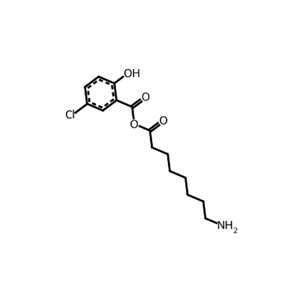 NCCCCCCCC(=O)OC(=O)c1cc(Cl)ccc1O